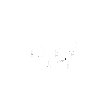 COc1ccccc1CN[C@H]1CCCCN[C@H]1c1ccccc1